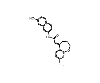 O=C(C=C1CCCOc2cc(C(F)(F)F)ccc21)Nc1ccc2ccc(O)cc2c1